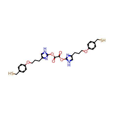 O=C(Oc1nc(CCCOc2ccc(CS)cc2)c[nH]1)C(=O)Oc1nc(CCCOc2ccc(CS)cc2)c[nH]1